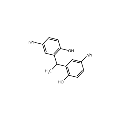 CCCc1ccc(O)c(C(C)c2cc(CCC)ccc2O)c1